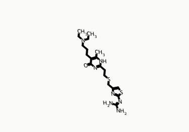 CCN(CC)CCCc1c(C)[nH]c(CCSCc2csc(N=C(N)N)n2)nc1=O